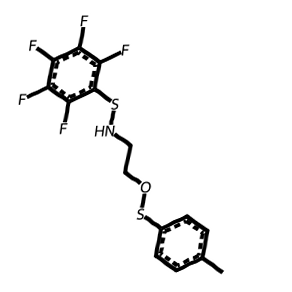 Cc1ccc(SOCCNSc2c(F)c(F)c(F)c(F)c2F)cc1